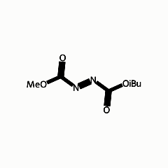 COC(=O)N=NC(=O)OCC(C)C